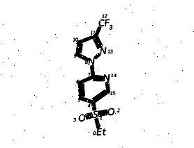 CCS(=O)(=O)c1ccc(-n2ccc(C(F)(F)F)n2)nc1